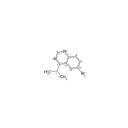 CC(C)c1ncnc2ccc(Br)cc12